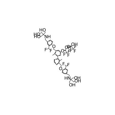 Cc1c(COc2ccc(CNC(CO)(CO)CO)cc2C(F)F)cccc1-c1cccc(COc2ccc(CNC(CO)(CO)CO)cc2C(F)F)c1C.O=C(O)C(F)(F)F.O=C(O)C(F)(F)F